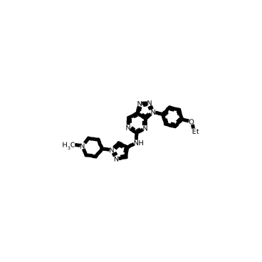 CCOc1ccc(-n2nnc3cnc(Nc4cnn(C5CCN(C)CC5)c4)nc32)cc1